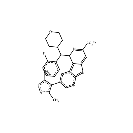 CCOC(=O)C1=NC(C(c2ccccc2F)C2CCOCC2)C2=c3cc(-c4c(C)noc4C)cnc3=NC2=C1